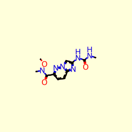 CNC(=O)Nc1cn2nc(C(=O)N(C)OC)ccc2n1